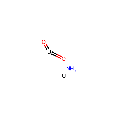 N.[O]=[U]=[O].[U]